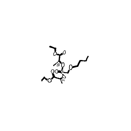 CCCCOCP(=O)(O[C@@H](C)C(=O)OCC)O[C@@H](C)C(=O)OCC